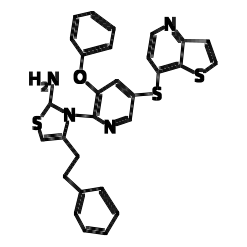 NC1SC=C(CCc2ccccc2)N1c1ncc(Sc2ccnc3ccsc23)cc1Oc1ccccc1